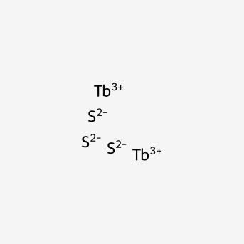 [S-2].[S-2].[S-2].[Tb+3].[Tb+3]